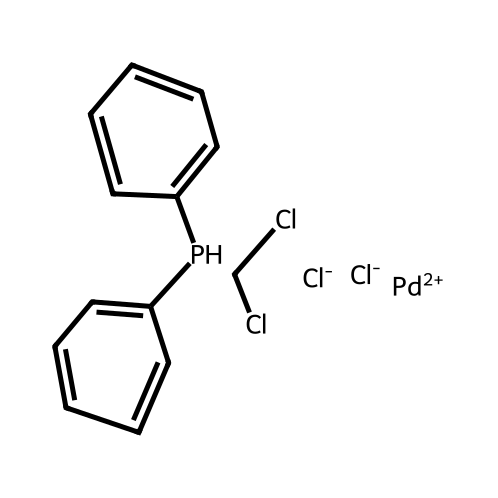 ClCCl.[Cl-].[Cl-].[Pd+2].c1ccc(Pc2ccccc2)cc1